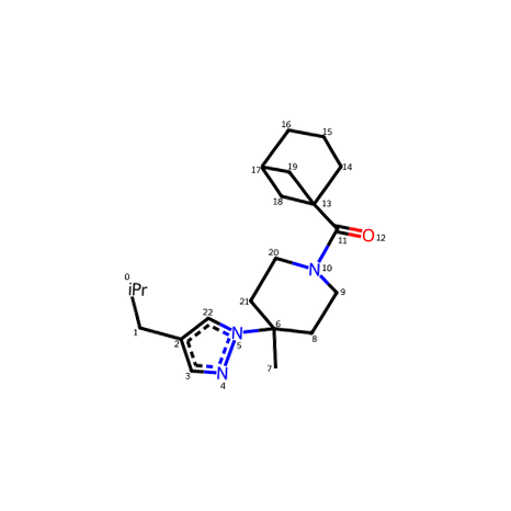 CC(C)Cc1cnn(C2(C)CCN(C(=O)C34CCCC(C3)C4)CC2)c1